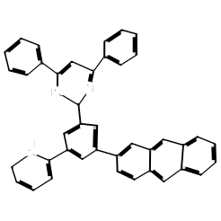 C1=CCNC(c2cc(-c3ccc4cc5ccccc5cc4c3)cc(C3N=C(c4ccccc4)C=C(c4ccccc4)N3)c2)=C1